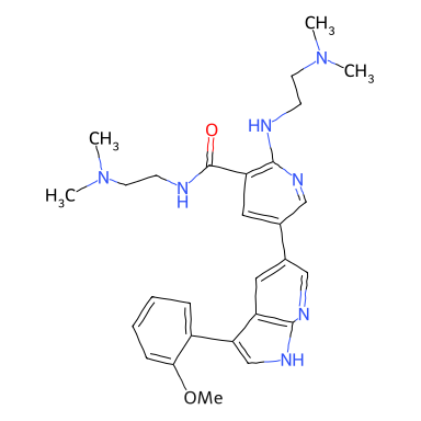 COc1ccccc1-c1c[nH]c2ncc(-c3cnc(NCCN(C)C)c(C(=O)NCCN(C)C)c3)cc12